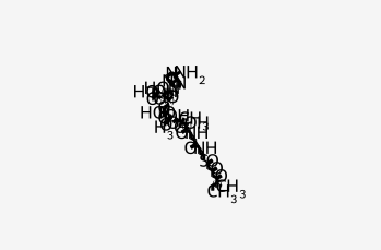 CC[C@H](C)C(=O)CC(=O)CC(=O)SCCNC(=O)CCNC(=O)[C@H](O)C(C)(C)COP(=O)(O)OP(=O)(O)OC[C@H]1O[C@@H](n2cnc3c(N)ncnc32)[C@H](O)[C@@H]1OP(=O)(O)O